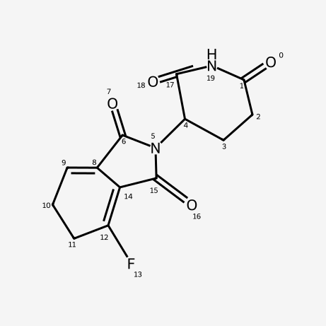 O=C1CCC(N2C(=O)C3=CCCC(F)=C3C2=O)C(=O)N1